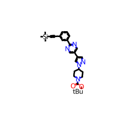 CC(C)(C)OC(=O)N1CCC(n2cc(-c3cnc(-c4cccc(C#C[Si](C)(C)C)c4)nc3)cn2)CC1